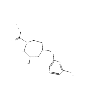 C[C@@H]1C[C@H](Oc2cncc(Cl)n2)CCN(C(=O)OC(C)(C)C)C1